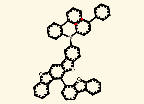 c1ccc(-c2ccc(N(c3ccc4oc5c(-c6cccc7c6oc6ccccc67)c6c(cc5c4c3)oc3ccccc36)c3ccccc3-c3ccccc3)cc2)cc1